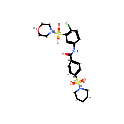 O=C(Nc1ccc(Cl)c(S(=O)(=O)N2CCOCC2)c1)c1ccc(S(=O)(=O)N2CCCCC2)cc1